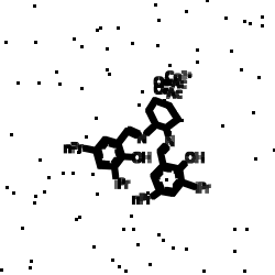 CC(=O)[O-].CC(=O)[O-].CCCc1cc(C=NC2CCCCC2N=Cc2cc(CCC)cc(C(C)C)c2O)c(O)c(C(C)C)c1.[Co+2]